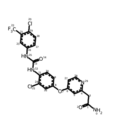 NC(=O)Cc1cc(Oc2ccc(NC(=O)Nc3ccc(Cl)c(C(F)(F)F)c3)c(Cl)c2)ccn1